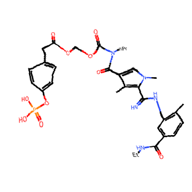 CCCN(C(=O)OCOC(=O)Cc1ccc(OP(=O)(O)O)cc1)C(=O)c1cn(C)c(C(=N)Nc2cc(C(=O)NCC)ccc2C)c1C